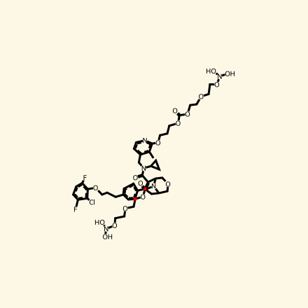 Cc1c(CN(C(=O)C2=C(c3ccc(CCCOc4c(F)ccc(F)c4Cl)cc3)CC3COCC2N3C(=O)OCCOCCON(O)O)C2CC2)ccnc1OCCCOC(=O)OCCOCCON(O)O